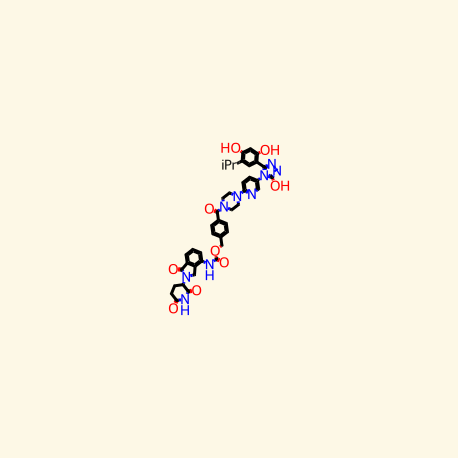 CC(C)c1cc(-c2nnc(O)n2-c2ccc(N3CCN(C(=O)c4ccc(COC(=O)Nc5cccc6c5CN(C5CCC(=O)NC5=O)C6=O)cc4)CC3)nc2)c(O)cc1O